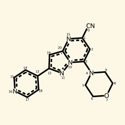 N#Cc1cc(N2CCOCC2)n2nc(-c3ccncc3)cc2n1